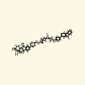 Cn1c2ccncc2c2ccc(-c3ccc(O[C@H]4C[C@H](N(C)C5CC6(C5)CN(CCC5CCN(c7ccc8c(c7)C(=O)N(C7CCC(=O)NC7=O)C8=O)CC5)C6)C4)nc3)cc21